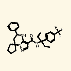 CCC(CC)(NC(=O)c1cnn2c1NC(c1ccccc1)CC21CCCC1)c1ccc(C(F)(F)F)cc1